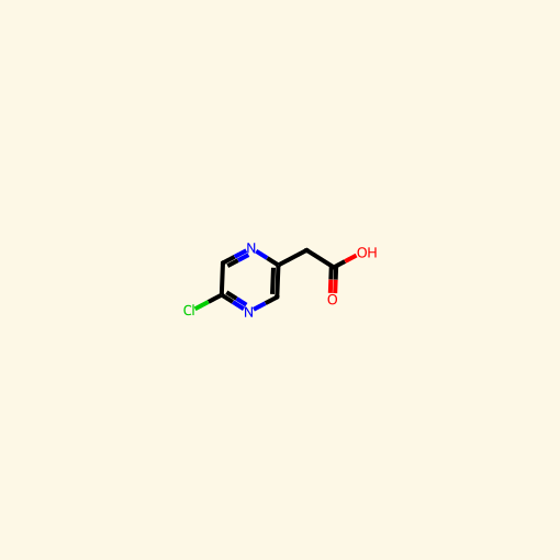 O=C(O)Cc1cnc(Cl)cn1